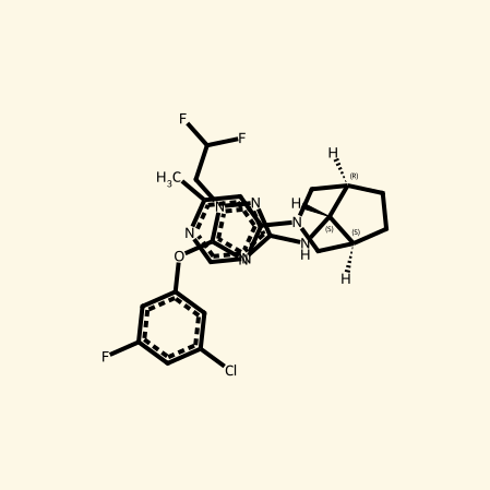 Cc1cc(N2C[C@H]3CC[C@@H](C2)[C@@H]3Nc2nc(Oc3cc(F)cc(Cl)c3)n(CC(F)F)n2)ncn1